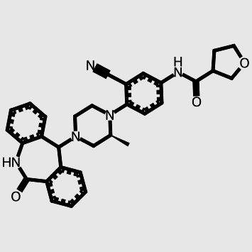 C[C@H]1CN(C2c3ccccc3NC(=O)c3ccccc32)CCN1c1ccc(NC(=O)C2CCOC2)cc1C#N